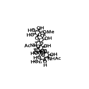 COCOC(CO)C(O[C@@H]1O[C@@H](C)C(O)C(O)C1O)[C@@H](CNC(C)=O)O[C@@H]1OC(CO)C(O)[C@H](O[C@]2(C(=O)O)CC(O)C(NC(C)=O)[C@H]([C@H](O)[C@H](O)CO)O2)C1O